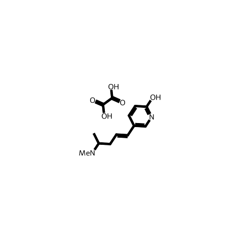 CNC(C)CC=Cc1ccc(O)nc1.O=C(O)C(=O)O